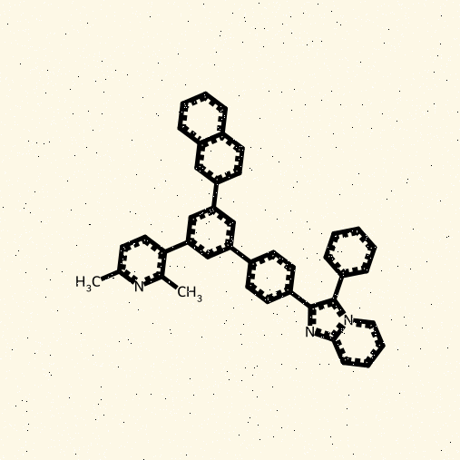 Cc1ccc(-c2cc(-c3ccc(-c4nc5ccccn5c4-c4ccccc4)cc3)cc(-c3ccc4ccccc4c3)c2)c(C)n1